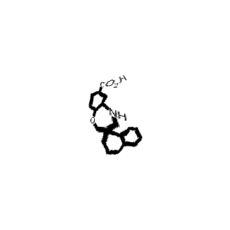 O=C(O)C1=CC2NCC3(CC=Cc4ccccc43)COC2C=C1